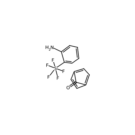 Nc1ccccc1S(F)(F)(F)(F)F.O=C1C2=CC=C1C=C2